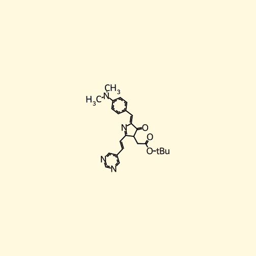 CN(C)c1ccc(/C=C2N=C(/C=C/c3cncnc3)C(CC(=O)OC(C)(C)C)C\2=O)cc1